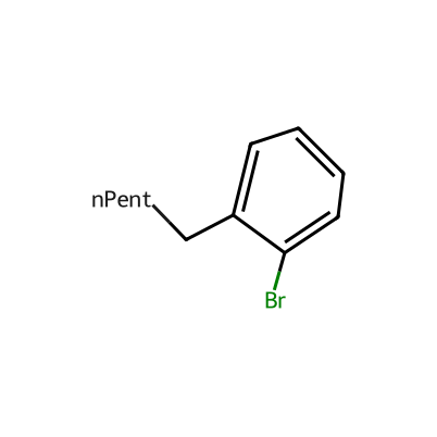 CCCCCCc1ccccc1Br